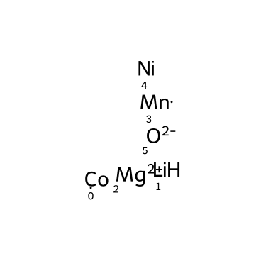 [Co].[LiH].[Mg+2].[Mn].[Ni].[O-2]